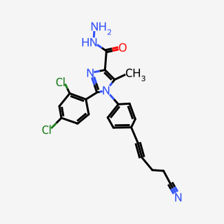 Cc1c(C(=O)NN)nc(-c2ccc(Cl)cc2Cl)n1-c1ccc(C#CCCC#N)cc1